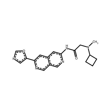 CN(CC(=O)Nc1cc2cc(-c3cnco3)ncc2cn1)C1CCC1